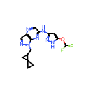 FC(F)Oc1cc(Nc2cnc3cnn(CC4CC45CC5)c3n2)n[nH]1